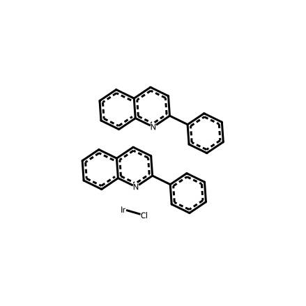 [Cl][Ir].c1ccc(-c2ccc3ccccc3n2)cc1.c1ccc(-c2ccc3ccccc3n2)cc1